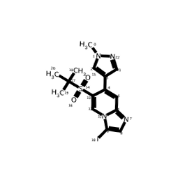 Cn1cc(-c2cc3ncc(I)n3cc2S(=O)(=O)C(C)(C)C)cn1